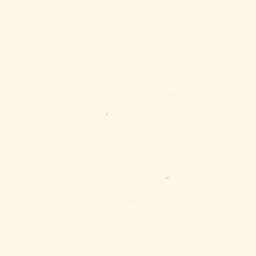 CC(C)(C)C1=C(C(C)(C)C)OC(c2ccccc2)(c2ccccc2)O1